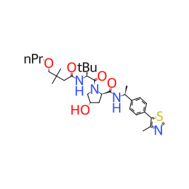 CCCOCC(C)(C)CC(=O)N[C@H](C(=O)N1C[C@@H](O)C[C@@H]1C(=O)N[C@@H](C)c1ccc(-c2scnc2C)cc1)C(C)(C)C